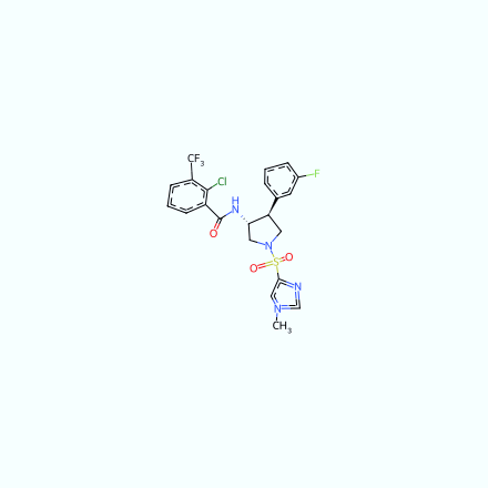 Cn1cnc(S(=O)(=O)N2C[C@H](NC(=O)c3cccc(C(F)(F)F)c3Cl)[C@@H](c3cccc(F)c3)C2)c1